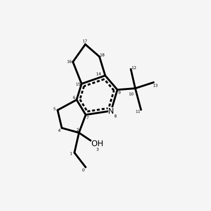 CCC1(O)CCc2c1nc(C(C)(C)C)c1c2CCC1